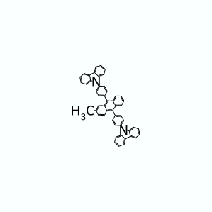 Cc1ccc2c(-c3ccc(-n4c5ccccc5c5ccccc54)cc3)c3ccccc3c(-c3ccc(-n4c5ccccc5c5ccccc54)cc3)c2c1